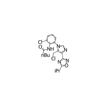 CCCCC(=O)Nc1c(Cl)cccc1-n1cnc(-c2noc(C(C)C)n2)c1CCl